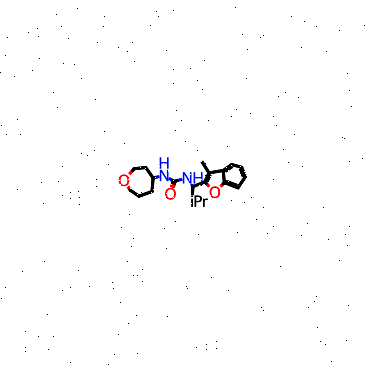 Cc1c(C(NC(=O)NC2CCCOCC2)C(C)C)oc2ccccc12